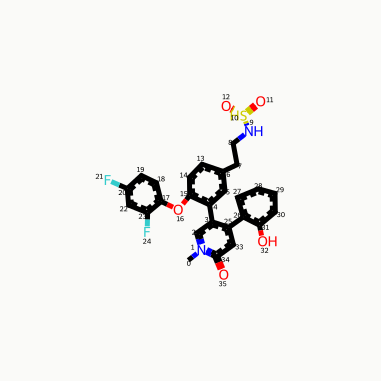 Cn1cc(-c2cc(CCN[SH](=O)=O)ccc2Oc2ccc(F)cc2F)c(-c2ccccc2O)cc1=O